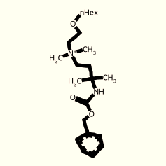 CCCCCCOCC[N+](C)(C)CCC(C)(C)NC(=O)OCc1ccccc1